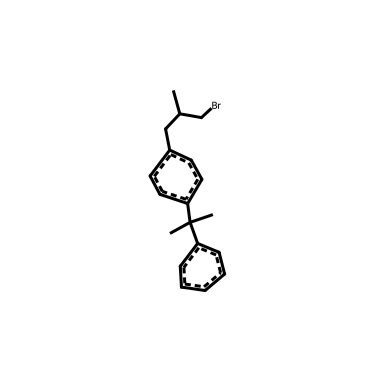 CC(CBr)Cc1ccc(C(C)(C)c2ccccc2)cc1